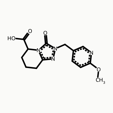 COc1ccc(Cn2nc3n(c2=O)C(C(=O)O)CCC3)cn1